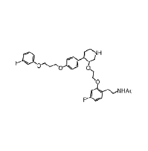 CC(=O)NCCc1ccc(F)cc1OCCOC1CNCCC1c1ccc(OCCCOc2cccc(F)c2)cc1